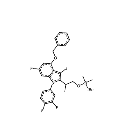 CC(CO[Si](C)(C)C(C)(C)C)c1c(I)c2c(OCc3ccccc3)cc(F)cc2n1-c1ccc(F)c(F)c1